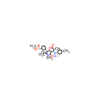 Cc1ccc(Nc2c(C)c(=O)oc3c(-c4cccc(CS(C)(=O)=O)c4C)c(C)n(C)c(=O)c23)c(F)c1